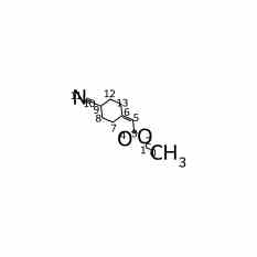 CCOC(=O)C=C1CCC(C#N)CC1